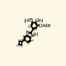 COc1cc(-c2nc3cc(C4CCC4)ccc3[nH]2)cc(O)c1O